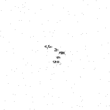 [AlH3].[Nb].[SbH3].[SnH2].[Zn]